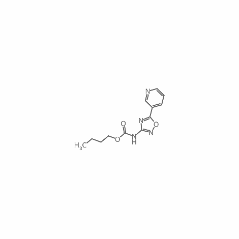 CCCCOC(=O)Nc1noc(-c2cccnc2)n1